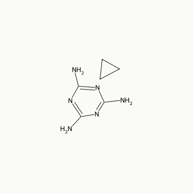 C1CC1.Nc1nc(N)nc(N)n1